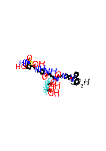 CN(CCCCC(=O)Nc1ccc(CNC[C@H](O)c2ccc(O)c3[nH]c(=O)sc23)cc1)C(=O)CCN1CCC2(CC1)CC(N(C(=O)O)c1ccccc1-c1ccccc1)C2.O=C(O)C(F)(F)F.O=C(O)C(F)(F)F